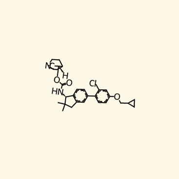 CC1(C)Cc2cc(-c3ccc(OCC4CC4)cc3Cl)ccc2[C@@H]1NC(=O)O[C@@H]1CN2CCC1CC2